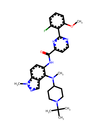 COc1cccc(F)c1-c1nccc(C(=O)Nc2ccc3c(cnn3C)c2N(C)C2CCN(C(C)(C)C)CC2)n1